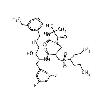 CCCC(CCC)S(=O)(=O)CC(CN1C(=O)NC(C)(C)C1=O)C(=O)N[C@@H](Cc1cc(F)cc(F)c1)[C@H](O)CNCc1cccc(CC)c1